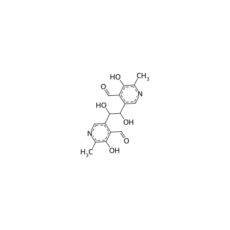 Cc1ncc(C(O)C(O)c2cnc(C)c(O)c2C=O)c(C=O)c1O